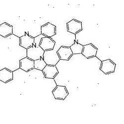 c1ccc(-c2ccc3c(c2)c2cc(-c4cc(-c5ccccc5)cc5c6cc(-c7ccccc7)cc(-c7cc(-c8ccccc8)nc(-c8ccccc8)n7)c6n(-c6ccccc6)c45)ccc2n3-c2ccccc2)cc1